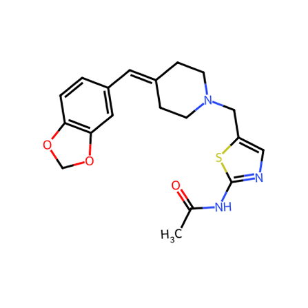 CC(=O)Nc1ncc(CN2CCC(=Cc3ccc4c(c3)OCO4)CC2)s1